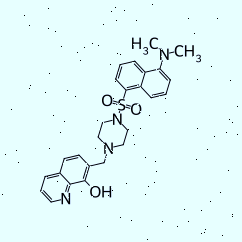 CN(C)c1cccc2c(S(=O)(=O)N3CCN(Cc4ccc5cccnc5c4O)CC3)cccc12